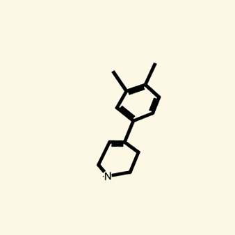 Cc1ccc(C2=CC[N]CC2)cc1C